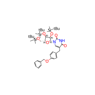 CC(C)(C)[Si](C)(C)OC[C@H]1O[C@@H](n2cc(Cc3ccc(OCc4ccccc4)cc3)c(=O)[nH]c2=O)[C@H](O[Si](C)(C)C(C)(C)C)[C@@H]1O[Si](C)(C)C(C)(C)C